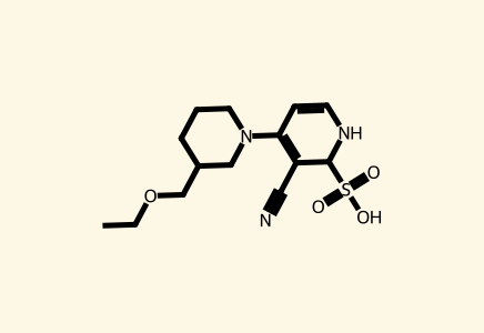 CCOCC1CCCN(C2=C(C#N)C(S(=O)(=O)O)NC=C2)C1